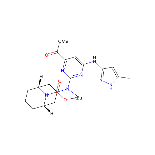 COC(=O)c1cc(Nc2cc(C)[nH]n2)nc(N(C)C2C[C@H]3CCC[C@@H](C2)N3C(=O)OC(C)(C)C)n1